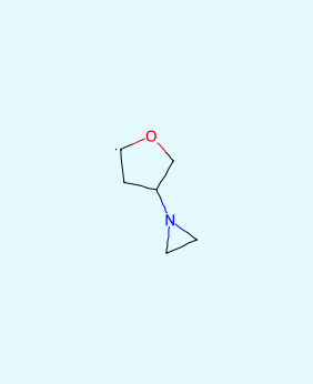 [CH]1CC(N2CC2)CO1